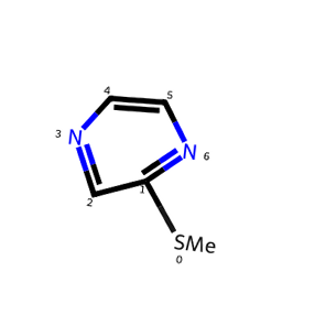 CSc1cnccn1